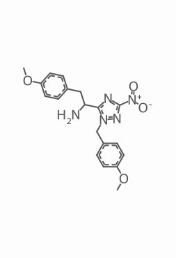 COc1ccc(CC(N)c2nc([N+](=O)[O-])nn2Cc2ccc(OC)cc2)cc1